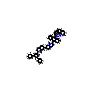 c1ccc(-c2cc(-c3ccccc3)cc(-c3ccc4ccc(-c5ccc6ccc(-c7c8ccccc8c(-c8ccc9ccc%10cccnc%10c9n8)c8ccccc78)nc6c5)cc4n3)c2)cc1